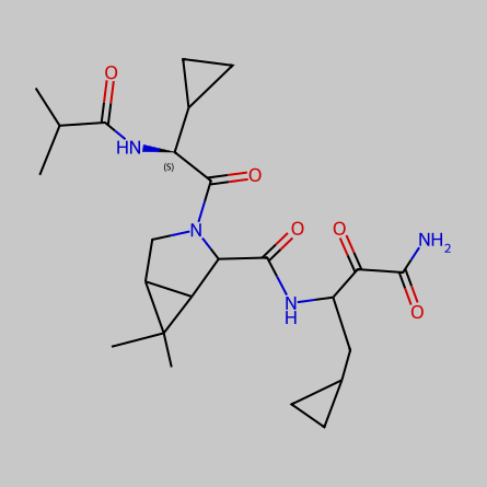 CC(C)C(=O)N[C@H](C(=O)N1CC2C(C1C(=O)NC(CC1CC1)C(=O)C(N)=O)C2(C)C)C1CC1